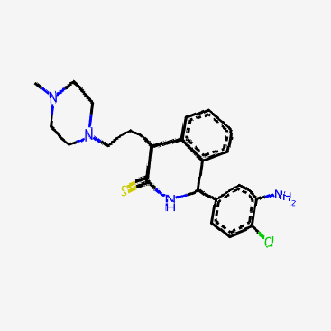 CN1CCN(CCC2C(=S)NC(c3ccc(Cl)c(N)c3)c3ccccc32)CC1